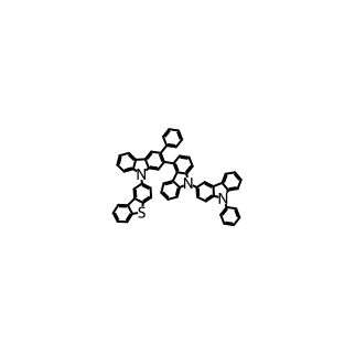 c1ccc(-c2cc3c4ccccc4n(-c4ccc5sc6ccccc6c5c4)c3cc2-c2cccc3c2c2ccccc2n3-c2ccc3c(c2)c2ccccc2n3-c2ccccc2)cc1